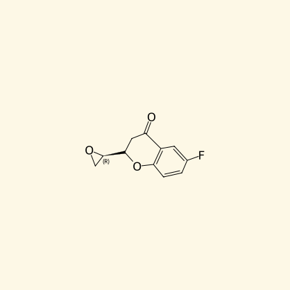 O=C1CC([C@H]2CO2)Oc2ccc(F)cc21